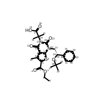 CCOC(=O)c1sc2c(c1C)c(=O)n(C(C)(C)C(=O)O)c(=O)n2C[C@@H](OC(C)(C)C)c1ccccc1